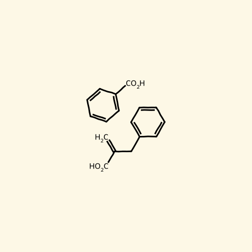 C=C(Cc1ccccc1)C(=O)O.O=C(O)c1ccccc1